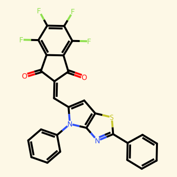 O=C1C(=Cc2cc3sc(-c4ccccc4)nc3n2-c2ccccc2)C(=O)c2c(F)c(F)c(F)c(F)c21